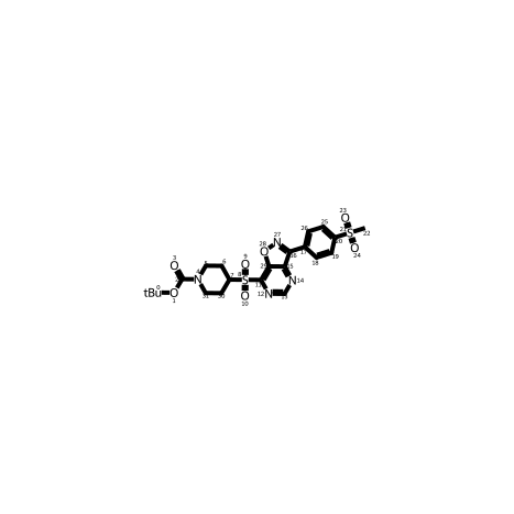 CC(C)(C)OC(=O)N1CCC(S(=O)(=O)c2ncnc3c(-c4ccc(S(C)(=O)=O)cc4)noc23)CC1